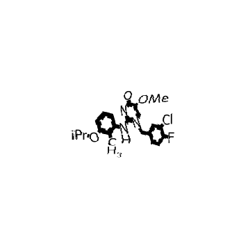 COc1cn(Cc2ccc(F)c(Cl)c2)c(Nc2cccc(OC(C)C)c2C)nc1=O